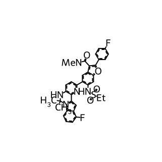 CCS(=O)(=O)Nc1cc2oc(-c3ccc(F)cc3)c(C(=O)NC)c2cc1-c1ccc2c(n1)-c1cc3c(F)cccc3n1C(C)(C)N2